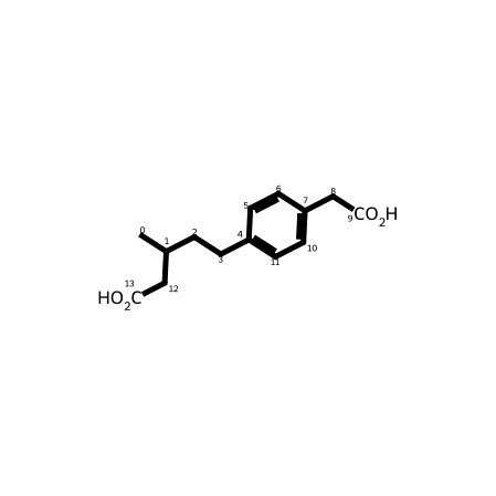 CC(CCc1ccc(CC(=O)O)cc1)CC(=O)O